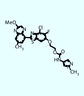 COc1cnc2c(-c3nc4c(Cl)c(F)c(OCCOC(=O)Nc5cnn(C)c5)cc4s3)cc(C)cc2n1